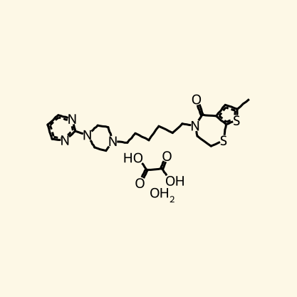 Cc1cc2c(s1)SCCN(CCCCCCN1CCN(c3ncccn3)CC1)C2=O.O.O=C(O)C(=O)O